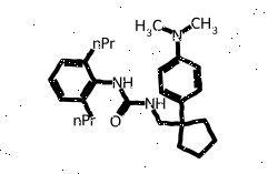 CCCc1cccc(CCC)c1NC(=O)NCC1(c2ccc(N(C)C)cc2)CCCC1